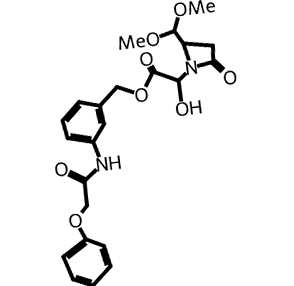 COC(OC)C1CC(=O)N1C(O)C(=O)OCc1cccc(NC(=O)COc2ccccc2)c1